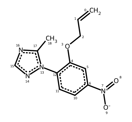 C=CCOc1cc([N+](=O)[O-])ccc1-n1ncnc1C